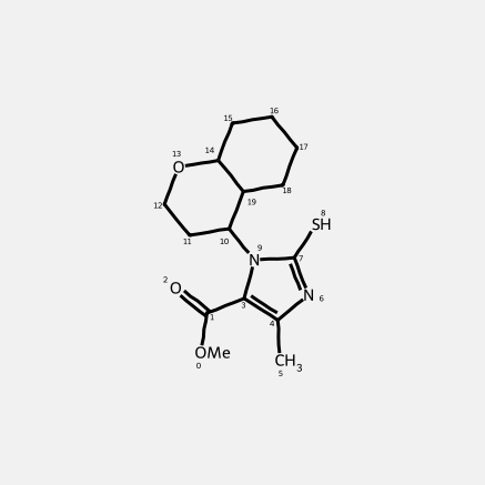 COC(=O)c1c(C)nc(S)n1C1CCOC2CCCCC21